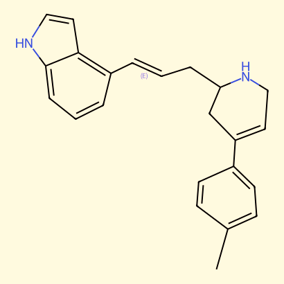 Cc1ccc(C2=CCNC(C/C=C/c3cccc4[nH]ccc34)C2)cc1